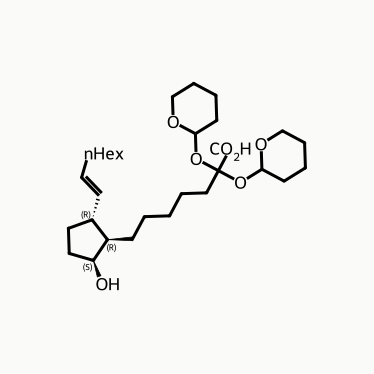 CCCCCCC=C[C@H]1CC[C@H](O)[C@@H]1CCCCCC(OC1CCCCO1)(OC1CCCCO1)C(=O)O